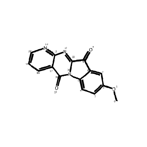 COc1ccc2c(c1)C(=O)c1nc3ncccc3c(=O)n1-2